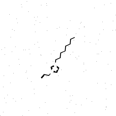 C=CC[n+]1ccn(CCCCCCCC)c1